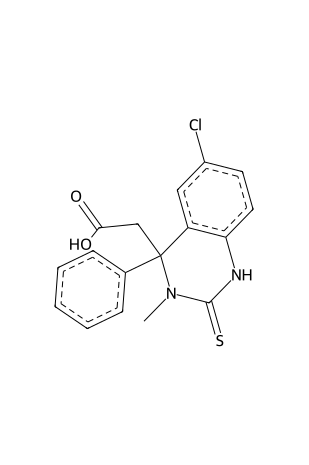 CN1C(=S)Nc2ccc(Cl)cc2C1(CC(=O)O)c1ccccc1